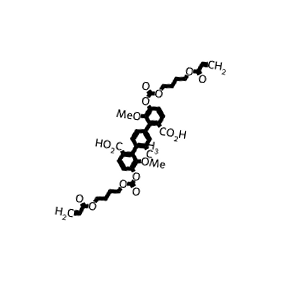 C=CC(=O)OCCCCOC(=O)Oc1ccc(C(=O)O)c(-c2ccc(-c3c(C(=O)O)ccc(OC(=O)OCCCCOC(=O)C=C)c3OC)c(C)c2)c1OC